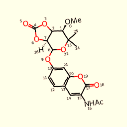 CO[C@@H]1C2OC(=O)O[C@@H]2C(Oc2ccc3cc(NC(C)=O)c(=O)oc3c2)OC1(C)C